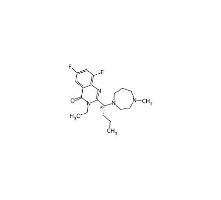 CCC[C@H](c1nc2c(F)cc(F)cc2c(=O)n1CC)N1CCCN(C)CC1